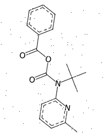 Cc1cccc(N(C(=O)OC(=O)c2ccccc2)C(C)(C)C)n1